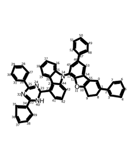 C1=C(c2ccccc2)CCc2oc3c(-n4c5ccccc5c5c(C6N=C(c7ccccc7)N=C(c7ccccc7)N6)cccc54)cc(-c4ccccc4)cc3c21